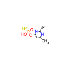 Cc1cc(OP(=O)(O)S)nc(C(C)C)n1